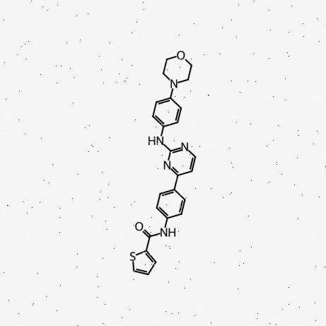 O=C(Nc1ccc(-c2ccnc(Nc3ccc(N4CCOCC4)cc3)n2)cc1)c1cccs1